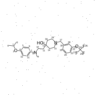 CC(C)Oc1ccc(N(C)CCC2(O)CCN(Cc3cccc(OC(F)(F)F)c3)CC2)cc1